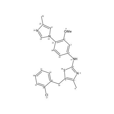 COc1cc(Nc2nc(C)c(Cc3ccccc3Cl)s2)ccc1-n1cnc(C)c1